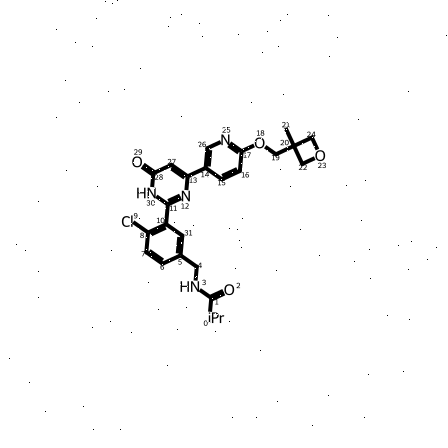 CC(C)C(=O)NCc1ccc(Cl)c(-c2nc(-c3ccc(OCC4(C)COC4)nc3)cc(=O)[nH]2)c1